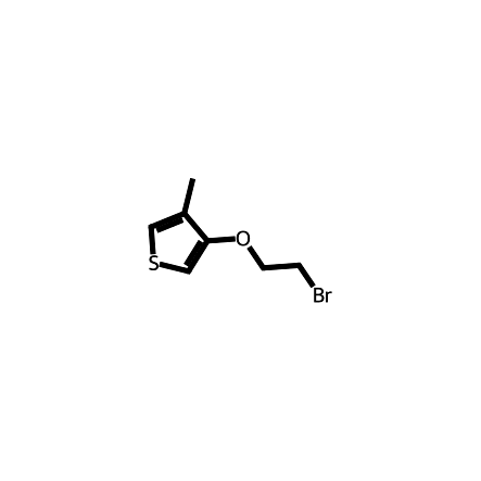 Cc1cscc1OCCBr